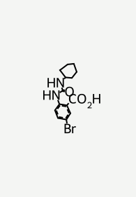 O=C(Nc1ccc(Br)cc1C(=O)O)NC1CCCCC1